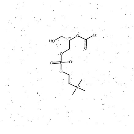 CCC(=O)O[C@@H](CO)COP(=O)([O-])OCC[N+](C)(C)C